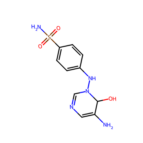 NC1=CN=CN(Nc2ccc(S(N)(=O)=O)cc2)C1O